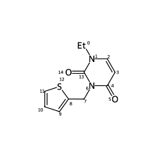 CCn1ccc(=O)n(Cc2cccs2)c1=O